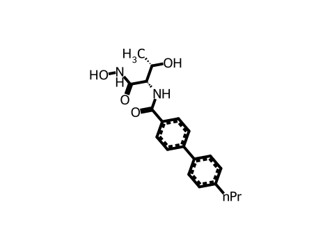 CCCc1ccc(-c2ccc(C(=O)N[C@H](C(=O)NO)[C@H](C)O)cc2)cc1